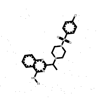 CCNc1nc(C(C)N2CCN(S(=O)(=O)c3ccc(Cl)cc3)CC2)nc2ccccc12